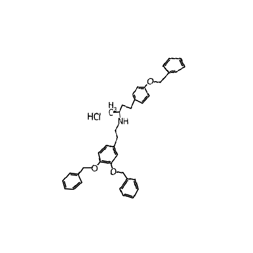 CC(CCc1ccc(OCc2ccccc2)cc1)NCCc1ccc(OCc2ccccc2)c(OCc2ccccc2)c1.Cl